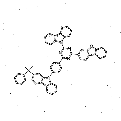 CC1(C)c2ccccc2-c2cc3c4ccccc4n(-c4ccc(-c5nc(-c6ccc7c(c6)oc6ccccc67)nc(-n6c7ccccc7c7ccccc76)n5)cc4)c3cc21